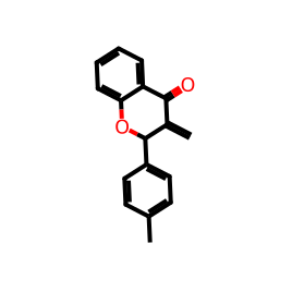 C=C1C(=O)c2ccccc2OC1c1ccc(C)cc1